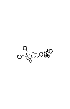 CN(c1cccc(CCCC2=C(O)CC(CCc3ccccc3)(CCc3ccccc3)OC2=O)c1)S(=O)(=O)c1ccccn1